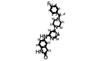 C[C@@H](c1ccc(F)cc1)N1CCN(c2cc(Nc3ccc4c(c3)CC(=O)N4)ncn2)CC1